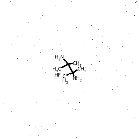 CC(C)(N)C(C)(C)N.F